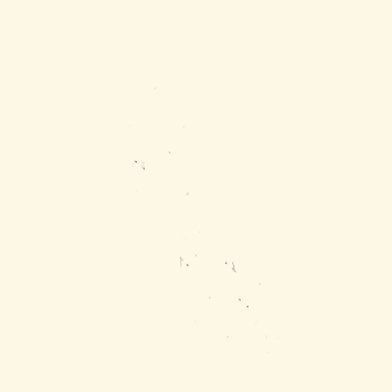 O=C(Cc1ccc(-c2ccccc2)nc1)Nc1ncn2c(C(F)(F)F)csc12